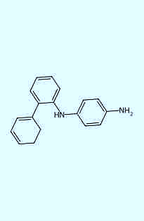 Nc1ccc(Nc2ccccc2C2=CC=CCC2)cc1